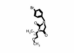 COC[C@H](C)N1C(=O)CN(Cc2ccc(Br)cc2)C1=O